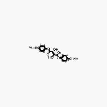 COc1ccc(OC(=O)[C@H](O)[C@@H](O)C(=O)Oc2ccc(OC)cc2)cc1